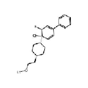 CCOCC[C@H]1CC[C@H](C2(Cl)C=CC(c3ccccc3)=CC2F)CC1